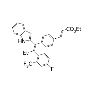 CCOC(=O)/C=C/c1ccc(/C(=C(/CC)c2ccc(F)cc2C(F)(F)F)c2cc3ccccc3[nH]2)cc1